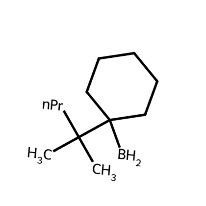 BC1(C(C)(C)CCC)CCCCC1